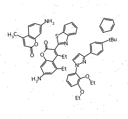 CCOc1cccc(-n2ccc(-c3ccc(C(C)(C)C)cc3)n2)c1OCC.CCc1cc(N)cc2oc(=O)c(-c3nc4ccccc4s3)c(CC)c12.Cc1cc(=O)oc2cc(N)ccc12.c1ccccc1